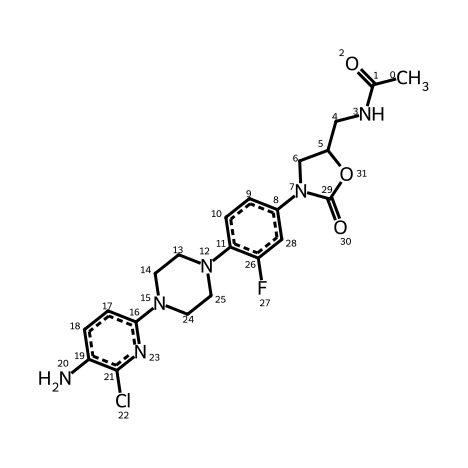 CC(=O)NCC1CN(c2ccc(N3CCN(c4ccc(N)c(Cl)n4)CC3)c(F)c2)C(=O)O1